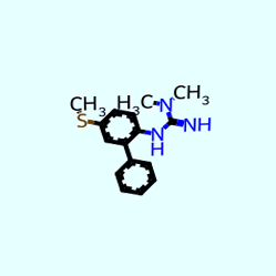 CSc1ccc(NC(=N)N(C)C)c(-c2ccccc2)c1